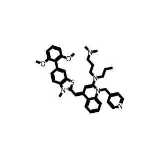 CCCN(CCCN(C)C)C1=CC(=Cc2sc3cc(-c4c(OC)cccc4OC)ccc3[n+]2C)c2ccccc2N1Cc1ccncc1